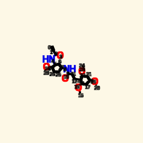 C#CC(=O)Nc1cc(NC(=O)/C=C/c2c(OC)cc(OC)cc2OC)ccc1OC